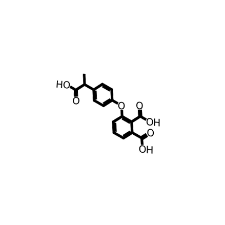 CC(C(=O)O)c1ccc(Oc2cccc(C(=O)O)c2C(=O)O)cc1